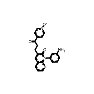 Nc1cccc(-n2c(=O)c(CCC(=O)c3cc[n+]([O-])cc3)cc3cccnc32)c1